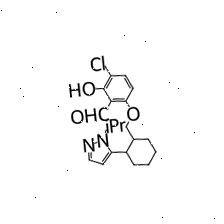 CC(C)n1nccc1C1CCCCC1COc1ccc(Cl)c(O)c1C=O